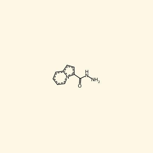 NNC(=O)c1ccc2ccccn12